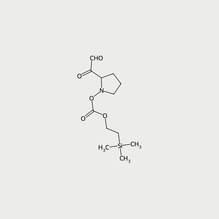 C[Si](C)(C)CCOC(=O)ON1CCCC1C(=O)C=O